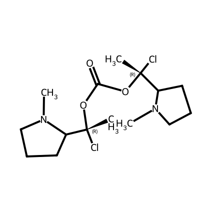 CN1CCCC1[C@@](C)(Cl)OC(=O)O[C@](C)(Cl)C1CCCN1C